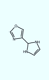 [c]1nc(C2NC=CN2)co1